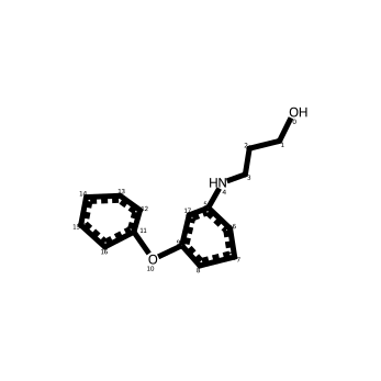 OCCCNc1cccc(Oc2ccccc2)c1